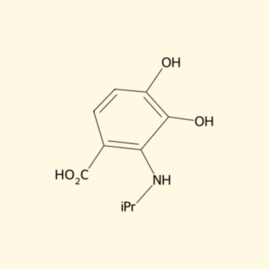 CC(C)Nc1c(C(=O)O)ccc(O)c1O